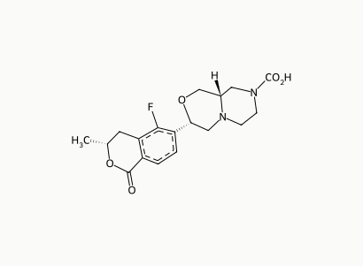 C[C@@H]1Cc2c(ccc([C@H]3CN4CCN(C(=O)O)C[C@H]4CO3)c2F)C(=O)O1